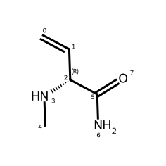 C=C[C@@H](NC)C(N)=O